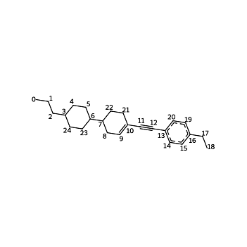 CCCC1CCC(C2CC=C(C#Cc3ccc(CC)cc3)CC2)CC1